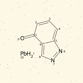 O=C1C=CC=C2N=NC=C12.[PbH2]